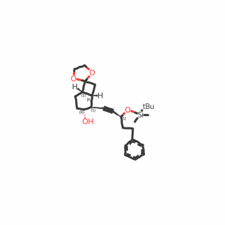 CC(C)(C)[Si](C)(C)O[C@H](C#C[C@@H]1[C@H]2CC3(OCCO3)[C@H]2CC[C@H]1O)CCc1ccccc1